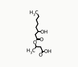 CCCCCC(O)CC(=O)OC(C)CC(=O)O